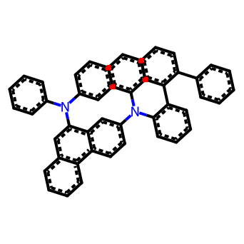 c1ccc(-c2ccccc2-c2ccccc2N(c2ccccc2)c2ccc3c(c2)c(N(c2ccccc2)c2ccccc2)cc2ccccc23)cc1